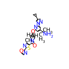 Cc1nc(-c2ncco2)sc1C(=O)N1C[C@@H]2[C@H](C1)[C@@H]2Oc1cc(C(C)(C)N)cc(-n2cc(C3CC3)cn2)n1